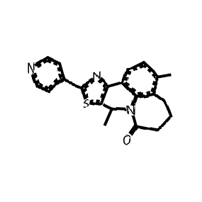 Cc1ccc(-c2csc(-c3ccncc3)n2)c2c1CCCC(=O)N2C(C)C